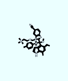 CCc1cc(C)c2[nH]ccc2c1C(OC)(c1nc2ccc(C#N)cc2n1COCC[Si](C)(C)C)S(=O)(=O)c1ccc(C)cc1